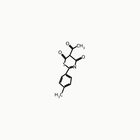 CC(=O)C1C(=O)N=C(c2ccc(C)cc2)SC1=O